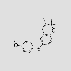 COc1ccc(Sc2ccc3c(c2)C=C(C)C(C)(C)O3)cc1